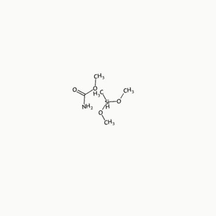 COC(N)=O.CO[SiH](C)OC